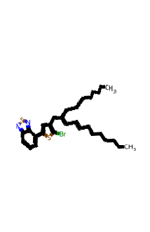 CCCCCCCCCCC(CCCCCCCC)Cc1cc(-c2cccc3nsnc23)sc1Br